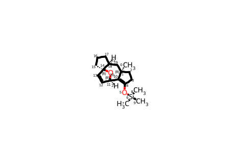 C[C@]12CCC(O[Si](C)(C)C)=C1[C@H]1C=C[C@]3(CCC[C@H]3C2)O1